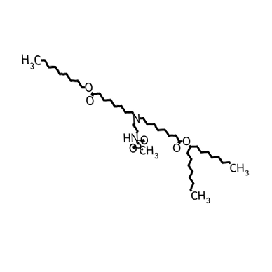 CCCCCCCCCOC(=O)CCCCCCCN(CCCCCCCC(=O)OC(CCCCCCCC)CCCCCCCC)CCNS(C)(=O)=O